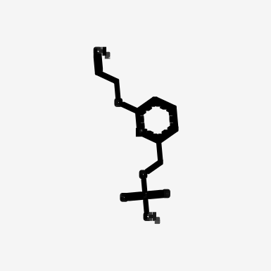 C=CCOc1cccc(COS(C)(=O)=O)n1